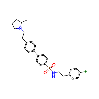 CC1CCCN1CCc1ccc(-c2ccc(S(=O)(=O)NCCc3ccc(F)cc3)cc2)cc1